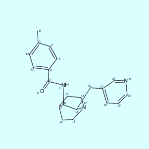 Cc1ccc(C(=O)NC2C3CCN(CC3)C2Cc2cccnc2)cc1